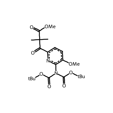 COC(=O)C(C)(C)C(=O)c1ccc(OC)c(N(C(=O)OC(C)(C)C)C(=O)OC(C)(C)C)n1